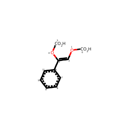 O=C(O)O/C=C(\OC(=O)O)c1ccccc1